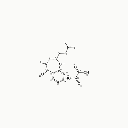 CN(C)CCC1CN(C)C(=O)c2cccnc2O1.O=C(O)C(=O)O